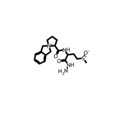 C[S+]([O-])CCC(NC(=O)C1CCC[N+]12Cc1ccccc1C2)C(=O)NN